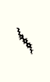 CCCCCc1ccc(-c2ccc(-c3ccc(OCCC)cc3)cc2)cn1